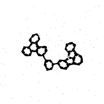 c1cc(-c2ccc3c4ccccc4c4ccccc4c3c2)cc(-c2ccc3c4cccc5c6ccccc6n(c3c2)c54)c1